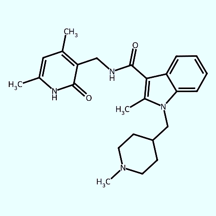 Cc1cc(C)c(CNC(=O)c2c(C)n(CC3CCN(C)CC3)c3ccccc23)c(=O)[nH]1